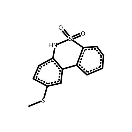 CSc1ccc2c(c1)-c1ccccc1S(=O)(=O)N2